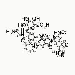 CCNc1cc(C2(Cc3nncn3C)COC2)cc(N2Cc3c(SC)cc(C[N+]4(Cc5ccc(O[C@@H]6O[C@H](C(=O)O)[C@@H](O)[C@H](O)[C@H]6O)c(C(=O)NCCN)c5)CCC[C@H](C)C4)cc3C2=O)n1